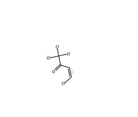 O=C(/C=C\Cl)C(Cl)(Cl)Cl